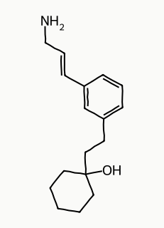 NCC=Cc1cccc(CCC2(O)CCCCC2)c1